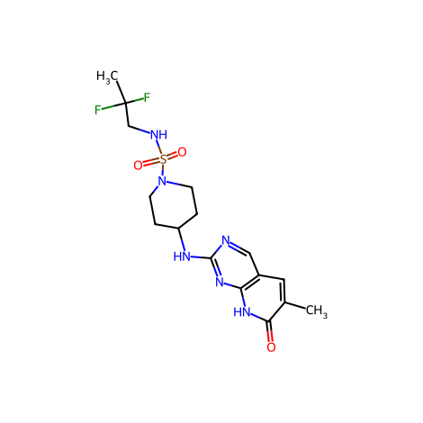 Cc1cc2cnc(NC3CCN(S(=O)(=O)NCC(C)(F)F)CC3)nc2[nH]c1=O